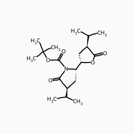 CC(C)[C@@H]1C[C@@H]([C@@H]2C[C@@H](C(C)C)C(=O)N2C(=O)OC(C)(C)C)OC1=O